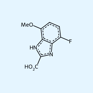 COc1ccc(F)c2nc(C(=O)O)[nH]c12